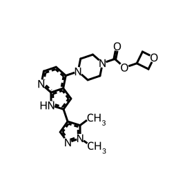 Cc1c(-c2cc3c(N4CCN(C(=O)OC5COC5)CC4)ccnc3[nH]2)cnn1C